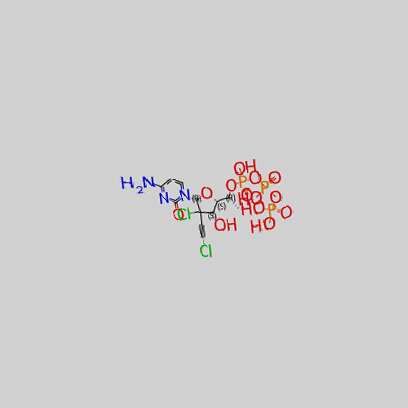 C[C@@H](OP(=O)(O)OP(=O)(O)OP(=O)(O)O)[C@H]1O[C@@H](n2ccc(N)nc2=O)C(Cl)(C#CCl)[C@H]1O